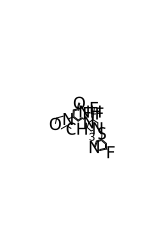 CC1COCCN1c1cc(N2CCN(Sc3cncc(F)c3)CC2C(F)(F)F)[nH]c(=O)c1